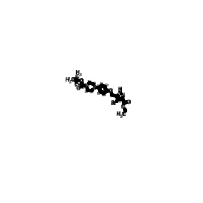 CCOC(=O)c1n[nH]c(COc2ccc(N3CCN(C(=O)OC(C)(C)C)CC3)cc2)c1Br